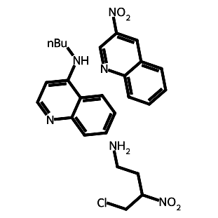 CCCCNc1ccnc2ccccc12.NCCC(CCl)[N+](=O)[O-].O=[N+]([O-])c1cnc2ccccc2c1